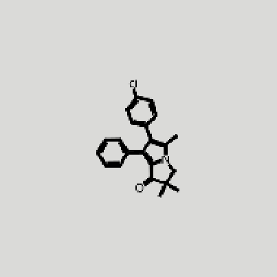 Cc1c(-c2ccc(Cl)cc2)c(-c2ccccc2)c2n1CC(C)(C)C2=O